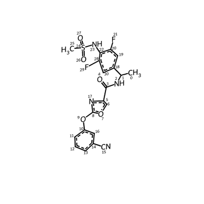 CC(NC(=O)c1coc(Oc2cccc(C#N)c2)n1)c1cc(F)c(NS(C)(=O)=O)c(F)c1